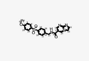 CC(C)Oc1ccc(S(=O)(=O)c2ccc(CNC(=O)c3cnc4nccn4c3)cc2)cc1